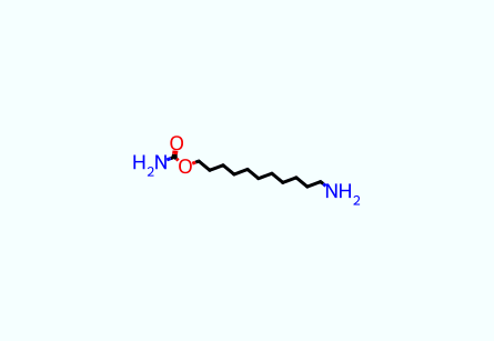 NCCCCCCCCCCCOC(N)=O